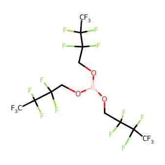 FC(F)(F)C(F)(F)C(F)(F)COB(OCC(F)(F)C(F)(F)C(F)(F)F)OCC(F)(F)C(F)(F)C(F)(F)F